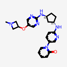 CN1CC(Oc2cnc(N[C@H]3CC[C@H](Nc4ccc(-n5ccccc5=O)cn4)C3)nc2)C1